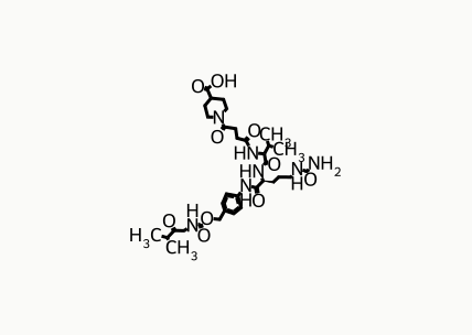 CC(C)C(=O)CNC(=O)OCc1ccc(NC(=O)[C@H](CCCNC(N)=O)NC(=O)C(NC(=O)CCC(=O)N2CCC(C(=O)O)CC2)C(C)C)cc1